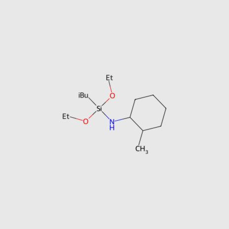 CCO[Si](NC1CCCCC1C)(OCC)C(C)CC